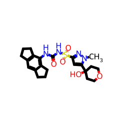 Cn1nc(S(=O)(=O)NC(=O)Nc2c3c(cc4c2CCC4)CCC3)cc1C1(O)CCOCC1